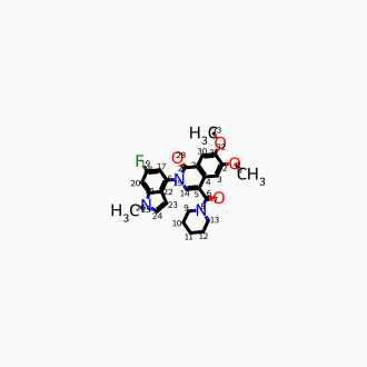 COc1cc2c(C(=O)N3CCCCC3)cn(-c3cc(F)cc4c3ccn4C)c(=O)c2cc1OC